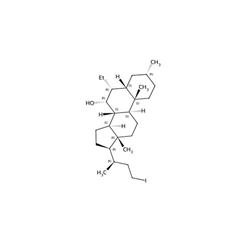 CC[C@H]1[C@@H](O)[C@@H]2[C@H](CC[C@]3(C)[C@@H]([C@H](C)CCI)CC[C@@H]23)[C@@]2(C)CC[C@@H](C)C[C@@H]12